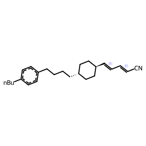 CCCCc1ccc(CCCC[C@H]2CC[C@H](/C=C/C=C/C#N)CC2)cc1